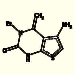 C=C1c2c(N)csc2NC(=O)N1CC